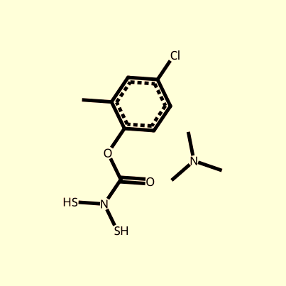 CN(C)C.Cc1cc(Cl)ccc1OC(=O)N(S)S